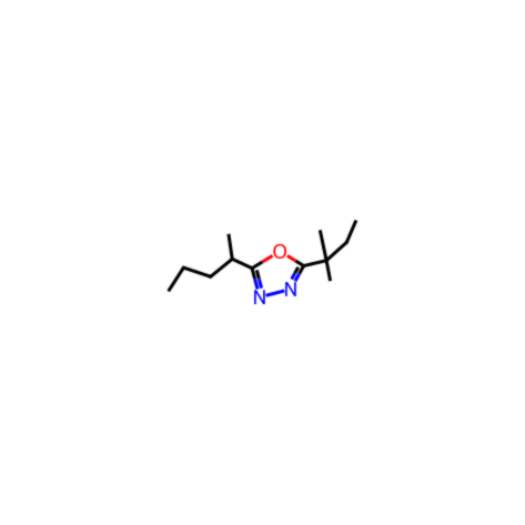 CCCC(C)c1nnc(C(C)(C)CC)o1